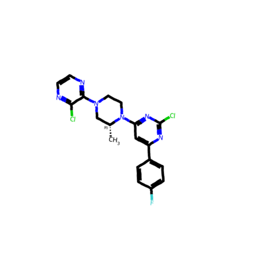 C[C@@H]1CN(c2nccnc2Cl)CCN1c1cc(-c2ccc(F)cc2)nc(Cl)n1